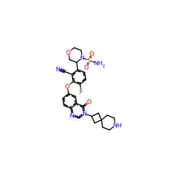 N#Cc1c(C2COCCN2S(N)(=O)=O)ccc(F)c1Oc1ccc2ncn(C3CC4(CCNCC4)C3)c(=O)c2c1